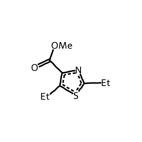 CCc1nc(C(=O)OC)c(CC)s1